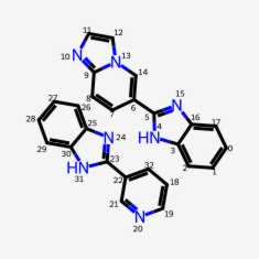 c1ccc2[nH]c(-c3ccc4nccn4c3)nc2c1.c1cncc(-c2nc3ccccc3[nH]2)c1